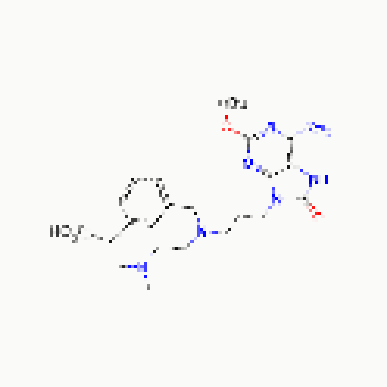 CCCCOc1nc(N)c2[nH]c(=O)n(CCCN(CCN(C)C)Cc3cccc(CC(=O)O)c3)c2n1